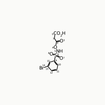 O=C(O)CC(=O)ONS(=O)(=O)c1cccc(Br)c1